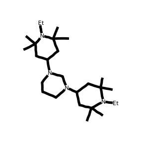 CCN1C(C)(C)CC(N2CCCN(C3CC(C)(C)N(CC)C(C)(C)C3)C2)CC1(C)C